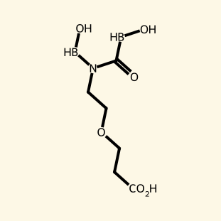 O=C(O)CCOCCN(BO)C(=O)BO